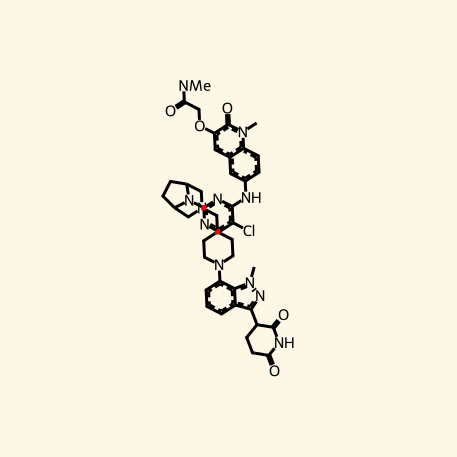 CNC(=O)COc1cc2cc(Nc3nc(N4C5CCC4CN(CC4CCN(c6cccc7c(C8CCC(=O)NC8=O)nn(C)c67)CC4)C5)ncc3Cl)ccc2n(C)c1=O